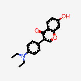 CCN(CC)c1ccc(-c2coc3cc(O)ccc3c2=O)cc1